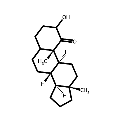 C[C@@]12CCC[C@H]1[C@@H]1CCC3CCC(O)C(=O)[C@]3(C)[C@H]1CC2